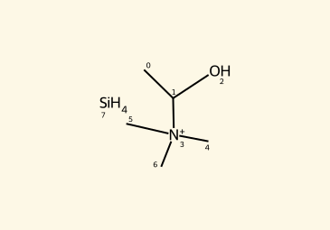 CC(O)[N+](C)(C)C.[SiH4]